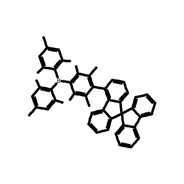 Cc1cc(C)c(B(c2c(C)cc(C)cc2C)c2c(C)c(C)c(-c3cccc4c3-c3ccccc3C43c4ccccc4-c4ccccc43)c(C)c2C)c(C)c1